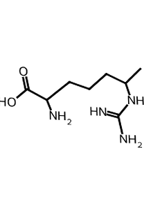 CC(CCCC(N)C(=O)O)NC(=N)N